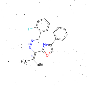 CCCC/C(C)=C(/N=N\Cc1ccccc1F)c1nc(-c2ccccc2)co1